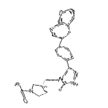 CC(C)C(=O)N1CC[C@@H](Cn2c(-c3ccc(-c4ccc5occc5c4)cc3)n[nH]c2=O)C1